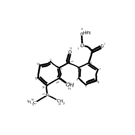 CCCCCCOC(=O)c1ccccc1C(=O)c1cccc(N(C)C)c1O